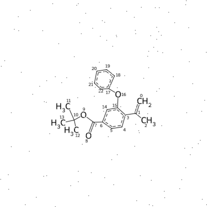 C=C(C)c1ccc(C(=O)OC(C)(C)C)cc1Oc1ccccc1